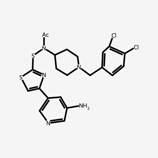 CC(=O)N(Sc1nc(-c2cncc(N)c2)cs1)C1CCN(Cc2ccc(Cl)c(Cl)c2)CC1